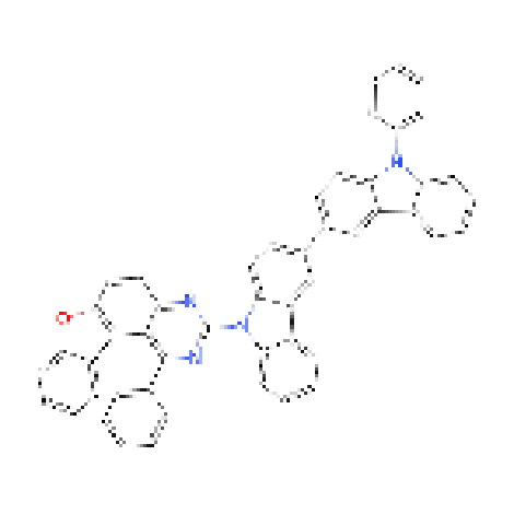 c1ccc(-c2nc(-n3c4ccccc4c4cc(-c5ccc6c(c5)c5ccccc5n6-c5ccccc5)ccc43)nc3ccc4oc5ccccc5c4c23)cc1